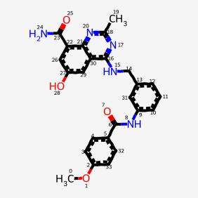 COc1ccc(C(=O)Nc2cccc(CNc3nc(C)nc4c(C(N)=O)cc(O)cc34)c2)cc1